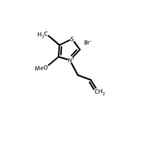 C=CC[n+]1csc(C)c1OC.[Br-]